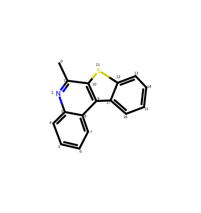 Cc1nc2ccccc2c2c1sc1ccccc12